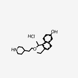 CCc1ccc2cc(O)ccc2c1C(C)OCCC1CCNCC1.Cl